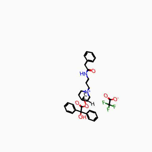 O=C(Cc1ccccc1)NCCC[N+]12CCC(CC1)[C@@H](OC(=O)C(O)(c1ccccc1)c1ccccc1)C2.O=C([O-])C(F)(F)F